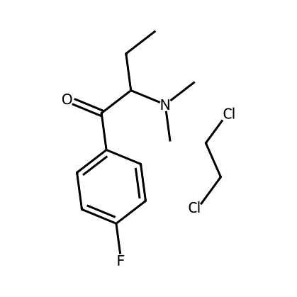 CCC(C(=O)c1ccc(F)cc1)N(C)C.ClCCCl